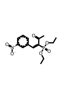 CCOP(=O)(OCC)C(=Cc1cccc([N+](=O)[O-])c1)C(C)=O